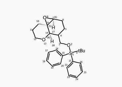 CC(C)(C)[Si](OCC1CC[C@@H]2O[C@@]23CCCO[C@H]13)(c1ccccc1)c1ccccc1